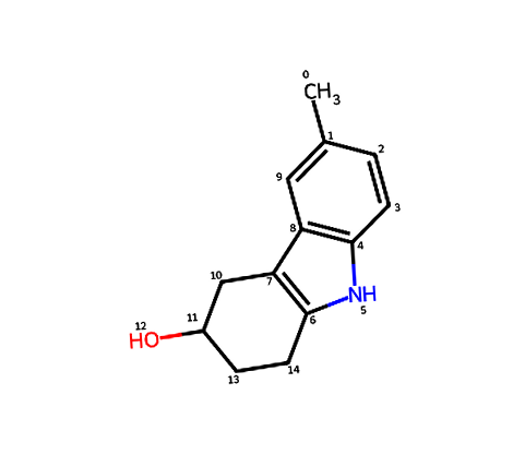 Cc1ccc2[nH]c3c(c2c1)CC(O)CC3